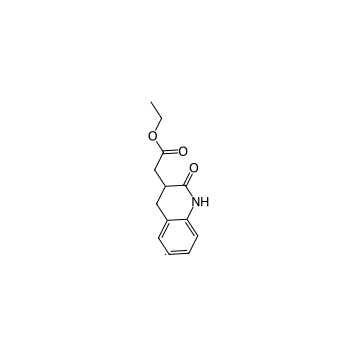 CCOC(=O)CC1Cc2c[c]ccc2NC1=O